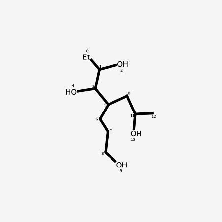 CCC(O)C(O)C(CCCO)CC(C)O